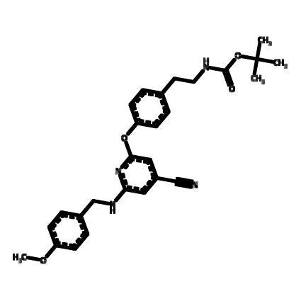 COc1ccc(CNc2cc(C#N)cc(Oc3ccc(CCNC(=O)OC(C)(C)C)cc3)n2)cc1